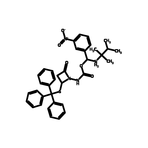 CC(C)C(C)(C)[SiH2]C(OC(=O)NN1C(=O)CC1SC(c1ccccc1)(c1ccccc1)c1ccccc1)c1cccc([N+](=O)[O-])c1